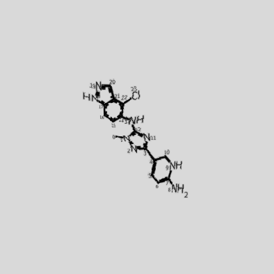 Cn1nc(C2=CC=C(N)NC2)nc1Nc1ccc2[nH]ncc2c1Cl